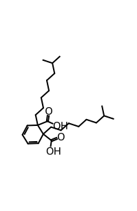 CC(C)CCCCCCC1(C(=O)O)C=CC=CC1(CCCCCCC(C)C)C(=O)O